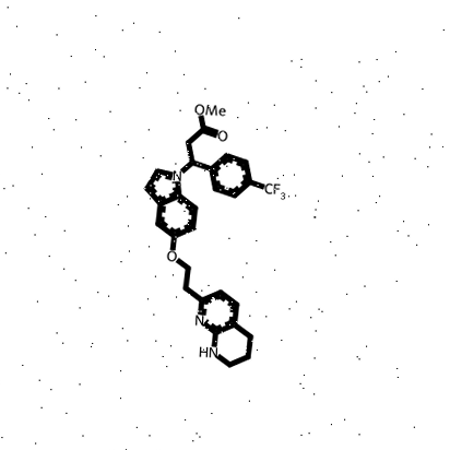 COC(=O)CC(c1ccc(C(F)(F)F)cc1)n1ccc2cc(OCCc3ccc4c(n3)NCCC4)ccc21